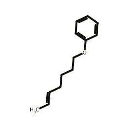 C/C=C/CCCCOc1cc[c]cc1